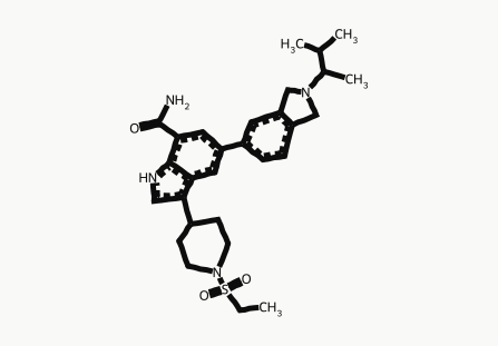 CCS(=O)(=O)N1CCC(c2c[nH]c3c(C(N)=O)cc(-c4ccc5c(c4)CN(C(C)C(C)C)C5)cc23)CC1